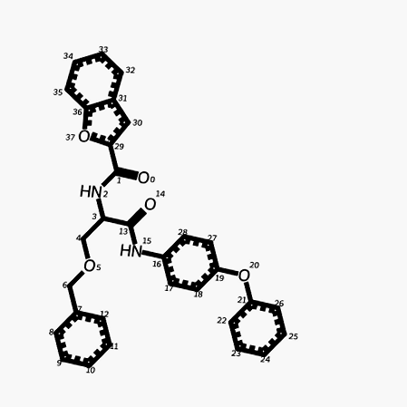 O=C(NC(COCc1ccccc1)C(=O)Nc1ccc(Oc2ccccc2)cc1)c1cc2ccccc2o1